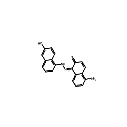 Nc1cccc2c1C=CC(=O)/C2=N\Nc1cccc2cc(O)ccc12